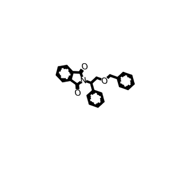 O=C1c2ccccc2C(=O)N1C(COCc1ccccc1)c1ccccc1